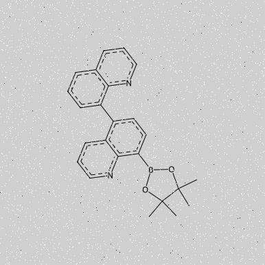 CC1(C)OB(c2ccc(-c3cccc4cccnc34)c3cccnc23)OC1(C)C